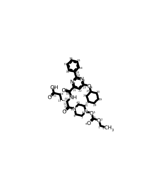 CCOC(=O)ON1CCN(C(=O)[C@H](CCC(=O)O)NC(=O)c2cc(OC3CCCCC3)nc(-c3ccccc3)n2)CC1